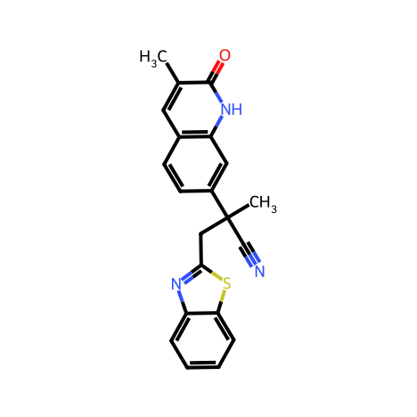 Cc1cc2ccc(C(C)(C#N)Cc3nc4ccccc4s3)cc2[nH]c1=O